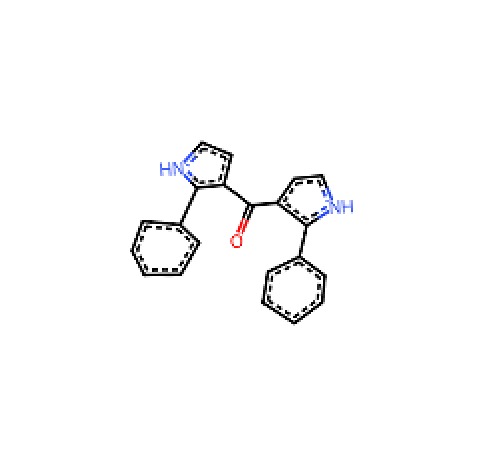 O=C(c1cc[nH]c1-c1ccccc1)c1cc[nH]c1-c1ccccc1